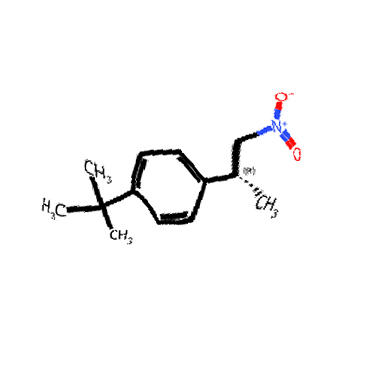 C[C@@H](C[N+](=O)[O-])c1ccc(C(C)(C)C)cc1